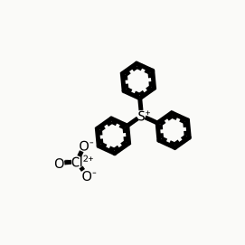 [O-][Cl+2]([O-])[O-].c1ccc([S+](c2ccccc2)c2ccccc2)cc1